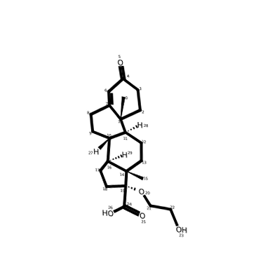 C[C@]12CCC(=O)C=C1CC[C@@H]1[C@@H]2CC[C@@]2(C)[C@H]1CC[C@]2(OCCO)C(=O)O